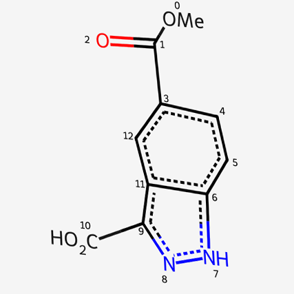 COC(=O)c1ccc2[nH]nc(C(=O)O)c2c1